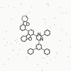 C1=Cc2oc3c(-c4ccc(-c5cc(-c6cc(-c7ccccc7)cc(-c7ccccc7)c6)nc(-c6ccccc6)n5)c5oc6ccccc6c45)cccc3c2CC1